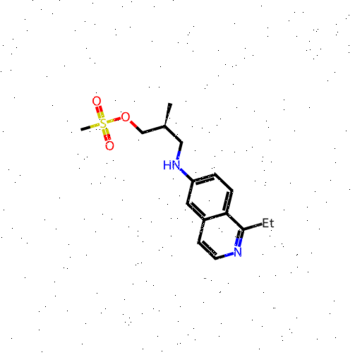 CCc1nccc2cc(NC[C@H](C)COS(C)(=O)=O)ccc12